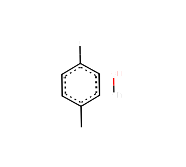 CCCO.Cc1ccc(C(C)C)cc1